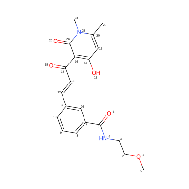 COCCNC(=O)c1cccc(/C=C/C(=O)c2c(O)cc(C)n(C)c2=O)c1